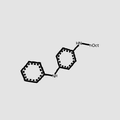 CCCCCCCCNc1ccc(Nc2ccccc2)cc1